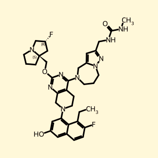 CCc1c(F)ccc2cc(O)cc(N3CCc4c(nc(OC[C@@]56CCCN5C[C@H](F)C6)nc4N4CCCn5nc(CNC(=O)NC)cc5C4)C3)c12